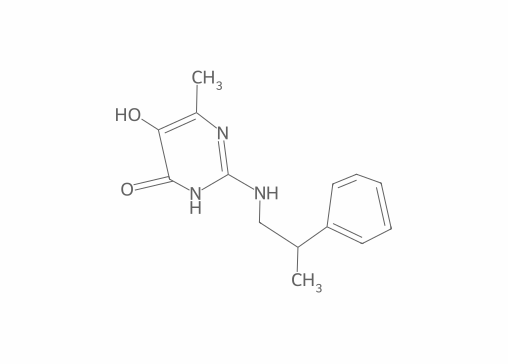 Cc1nc(NCC(C)c2ccccc2)[nH]c(=O)c1O